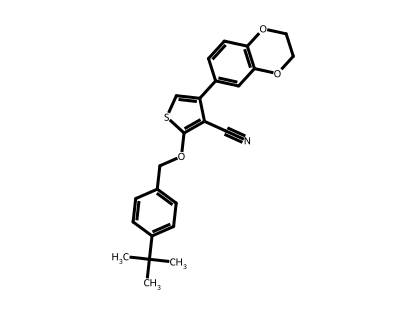 CC(C)(C)c1ccc(COc2scc(-c3ccc4c(c3)OCCO4)c2C#N)cc1